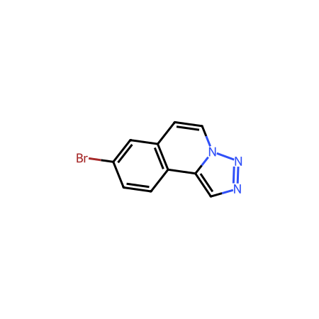 Brc1ccc2c(ccn3nncc23)c1